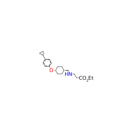 CCOC(=O)CCNC[C@H]1CC[C@H](Oc2ccc(C3CC3)cc2)CC1